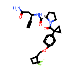 C#CC(CC(N)=O)NC(=O)[C@@H]1CCCN1C(=O)C1(c2ccc(OCC3CCC3(F)F)cc2)CC1